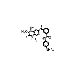 CC(=O)Nc1ccc(NC(=O)c2cccc(Nc3cc4c(cn3)N(C)C(=O)C(C)N4C(C)C)c2)cc1